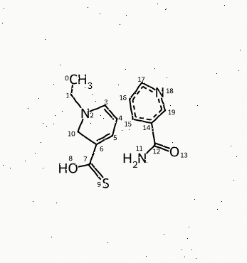 CCN1C=CC=C(C(O)=S)C1.NC(=O)c1cccnc1